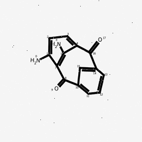 Nc1ccc2c(N)c1c(=O)c1cccc(c1)c2=O